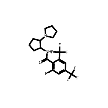 O=C(NC1CCCC1N1CCCC1)c1c(F)cc(C(F)(F)F)cc1C(F)(F)F